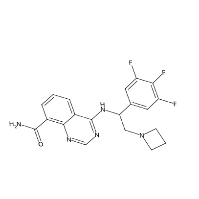 NC(=O)c1cccc2c(NC(CN3CCC3)c3cc(F)c(F)c(F)c3)ncnc12